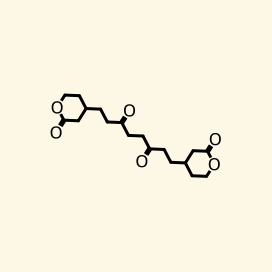 O=C(CCC(=O)CCC1CCOC(=O)C1)CCC1CCOC(=O)C1